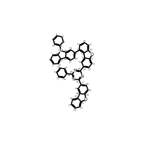 C1=CCCC(n2c3ccccc3c3ccc(-c4cccc5oc6ccc(-c7nc(-c8ccccc8)nc(-c8ccc9oc%10ccccc%10c9c8)n7)cc6c45)cc32)=C1